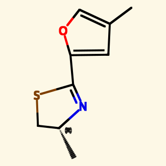 Cc1coc(C2=N[C@H](C)CS2)c1